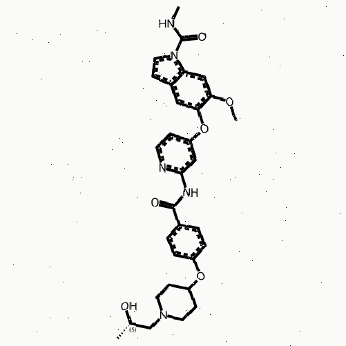 CNC(=O)n1ccc2cc(Oc3ccnc(NC(=O)c4ccc(OC5CCN(C[C@H](C)O)CC5)cc4)c3)c(OC)cc21